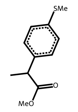 COC(=O)C(C)c1ccc(SC)cc1